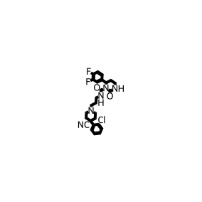 N#CC1(c2ccccc2Cl)CCN(CCCNC(=O)N2C(=O)NCCC2c2ccc(F)c(F)c2)CC1